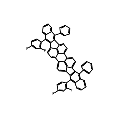 Fc1ccc(-c2c3c(c(-c4ccccc4)c4ccccc24)-c2ccc4c5ccc6c7c(ccc(c8ccc-3c2c48)c75)-c2c-6c(-c3ccccc3)c3ccccc3c2-c2ccc(F)cc2F)c(F)c1